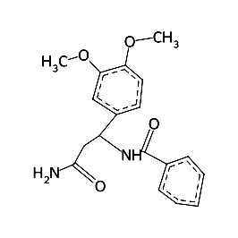 COc1ccc(C(CC(N)=O)NC(=O)c2ccccc2)cc1OC